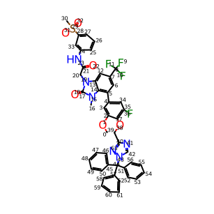 COc1cc(-c2cc(C(F)(F)F)cc3c2n(C)c(=O)n3CC(=O)Nc2cccc(S(C)(=O)=O)c2)cc(F)c1OCc1ncn(C(c2ccccc2)(c2ccccc2)c2ccccc2)n1